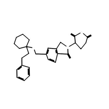 O=C1CCC(N2Cc3cc(CNC4(CCc5ccccc5)CCCCC4)ccc3C2=O)C(=O)N1